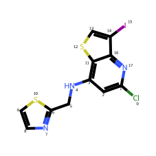 Clc1cc(NCc2nccs2)c2scc(I)c2n1